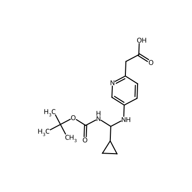 CC(C)(C)OC(=O)NC(Nc1ccc(CC(=O)O)nc1)C1CC1